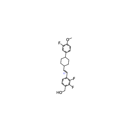 COc1ccc(C2CCC(/C=C/c3ccc(CO)c(F)c3F)CC2)cc1F